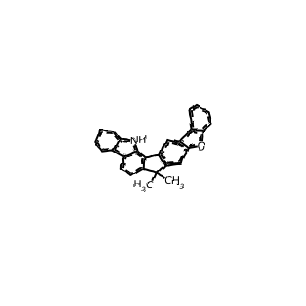 CC1(C)c2cc3oc4ccccc4c3cc2-c2c1ccc1c2[nH]c2ccccc21